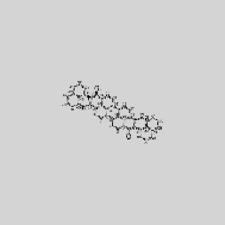 O=c1c2ccc3c4ccc5c6c(ccc(c7ccc(c2c73)c2cc3cccc7cccc(c73)n12)c46)c(=O)n1c2cccc3cccc(nc51)c32